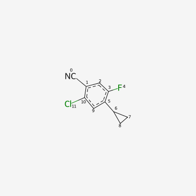 N#Cc1cc(F)c(C2CC2)cc1Cl